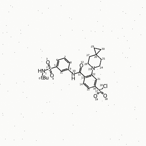 CC(C)(C)NS(=O)(=O)c1cccc(NC(=O)c2ccc(S(=O)(=O)Cl)cc2N2CCC3(CC2)CC3)c1